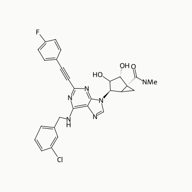 CNC(=O)[C@]12CC1[C@@H](n1cnc3c(NCc4cccc(Cl)c4)nc(C#Cc4ccc(F)cc4)nc31)C(O)[C@@H]2O